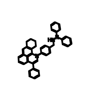 C(=C(c1ccccc1)c1ccccc1)N(c1ccc(CNN(c2ccccc2)c2ccccc2)cc1)c1cccc2c1CCCC2